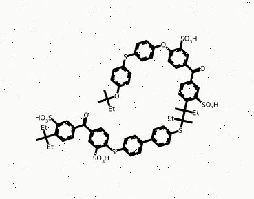 CCC(C)(C)Oc1ccc(Sc2ccc(Oc3ccc(C(=O)c4ccc(C(C)(CC)C(C)(CC)Sc5ccc(-c6ccc(Sc7ccc(C(=O)c8ccc(C(C)(CC)CC)c(S(=O)(=O)O)c8)cc7S(=O)(=O)O)cc6)cc5)c(S(=O)(=O)O)c4)cc3S(=O)(=O)O)cc2)cc1